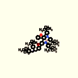 CC(C)(C)c1ccc(/C=C(/Cc2ccc3c(c2)oc2cc4c(cc23)N(c2ccc(C(C)(C)C)cc2)B2c3cc(C(C)(C)C)ccc3-n3c5ccc(C(C)(C)C)cc5c5c6oc7ccccc7c6c-4c2c53)c2ccc(C(C)(C)C)cc2)cc1